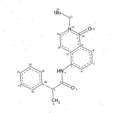 CC(C(=O)Nc1cccc2c(=O)n(CC(C)(C)C)ccc12)c1ccccc1